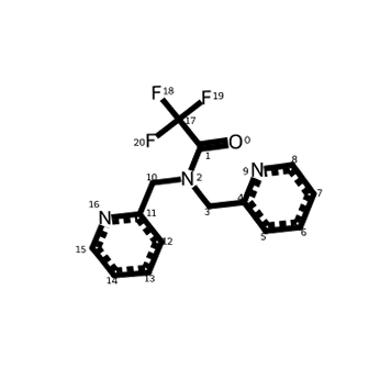 O=C(N(Cc1ccccn1)Cc1ccccn1)C(F)(F)F